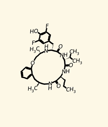 CCC[C@@H]1NC(=O)[C@@H](C(C)C)NC(=O)[C@@H](Cc2cc(F)c(O)c(F)c2)N[C@@H](C)COc2ccccc2C[C@H](C)CNC1=O